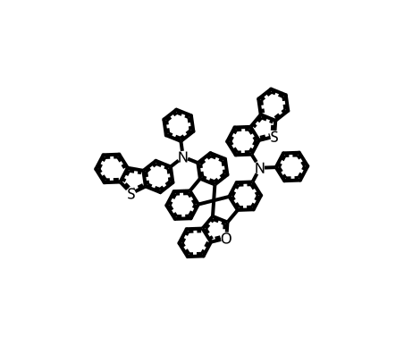 c1ccc(N(c2ccc3sc4ccccc4c3c2)c2cccc3c2-c2ccccc2C32c3cc(N(c4ccccc4)c4cccc5c4sc4ccccc45)ccc3-c3oc4ccccc4c32)cc1